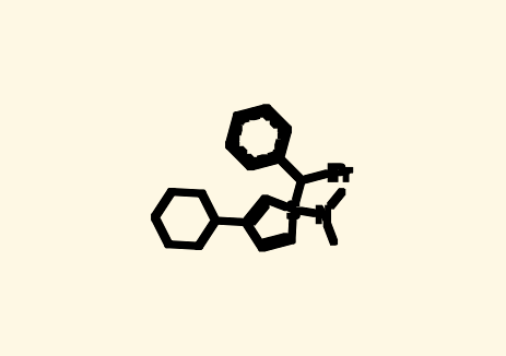 CC(C)C(c1ccccc1)S1(N(C)C)C=CC(C2CCCCC2)=C1